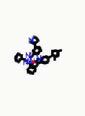 Cc1ccc(-c2ccc3c4ccccc4n(-c4ccc(-c5cccnc5)cc4-c4nc(-c5ccccc5)nc(-c5ccccc5)n4)c3c2)c(C)c1